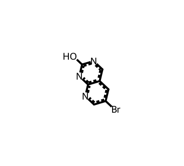 Oc1ncc2cc(Br)cnc2n1